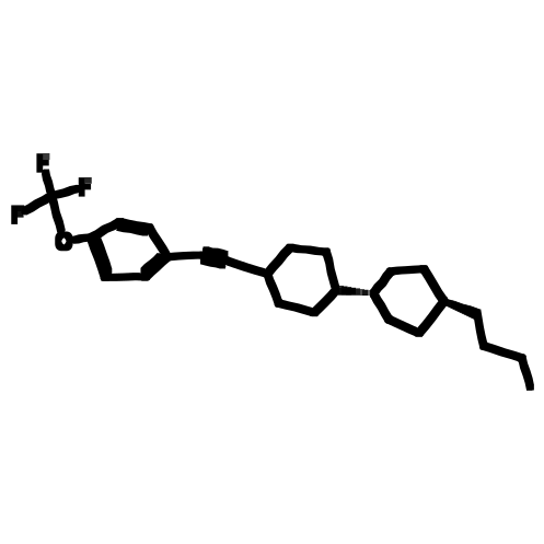 CCCC[C@H]1CC[C@H](C2CCC(C#Cc3ccc(OC(F)(F)F)cc3)CC2)CC1